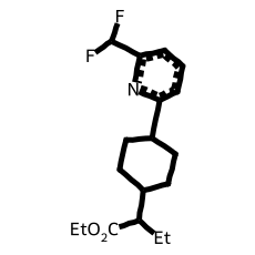 CCOC(=O)C(CC)C1CCC(c2cccc(C(F)F)n2)CC1